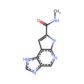 CNC(=O)C1=Cc2c(ncc3nc[nH]c23)[N]1